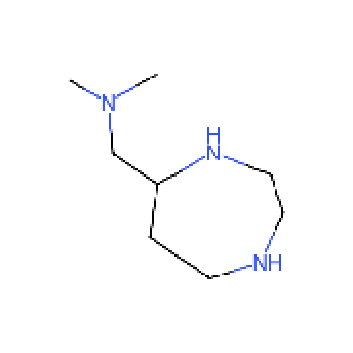 CN(C)CC1CCNCCN1